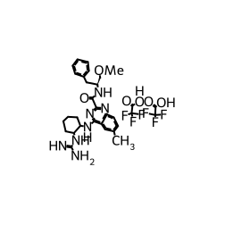 COC[C@H](Cc1ccccc1)NC(=O)c1nc(NC2CCCCC2NC(=N)N)c2cc(C)ccc2n1.O=C(O)C(F)(F)F.O=C(O)C(F)(F)F